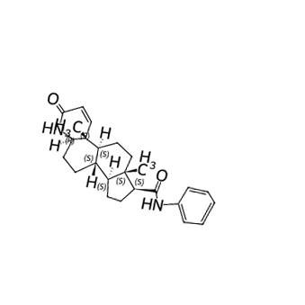 C[C@]12C=CC(=O)N[C@@H]1CC[C@@H]1[C@@H]2CC[C@]2(C)[C@@H](C(=O)Nc3ccccc3)CC[C@@H]12